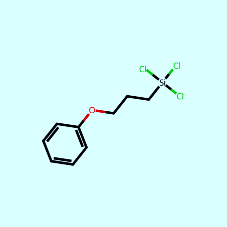 Cl[Si](Cl)(Cl)CCCOc1ccccc1